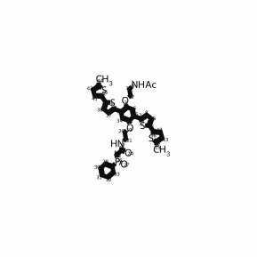 CC(=O)NCCOc1cc(-c2ccc(-c3ccc(C)s3)s2)c(OCCNC(=O)C[PH](=O)c2ccccc2)cc1-c1ccc(-c2ccc(C)s2)s1